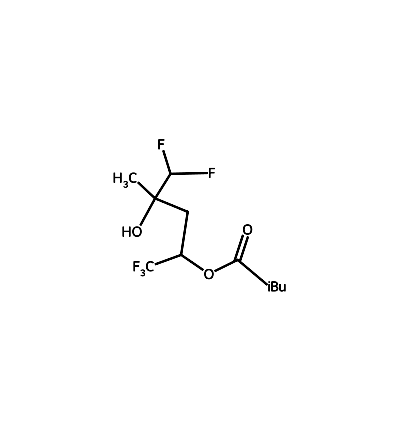 CCC(C)C(=O)OC(CC(C)(O)C(F)F)C(F)(F)F